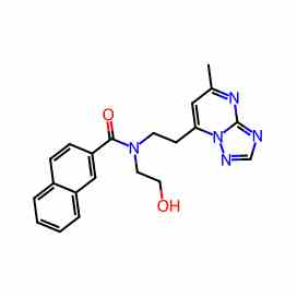 Cc1cc(CCN(CCO)C(=O)c2ccc3ccccc3c2)n2ncnc2n1